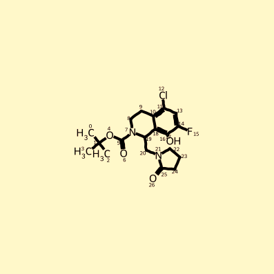 CC(C)(C)OC(=O)N1CCc2c(Cl)cc(F)c(O)c2C1CN1CCCC1=O